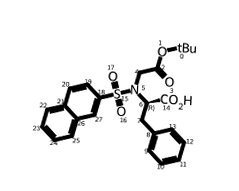 CC(C)(C)OC(=O)CN([C@H](Cc1ccccc1)C(=O)O)S(=O)(=O)c1ccc2ccccc2c1